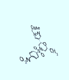 COCn1cc([C@H]2CN(S(=O)(=O)c3ccc([N+](=O)[O-])cc3)C[C@@H](C)O2)cn1